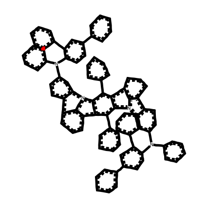 c1ccc(-c2ccc(N(c3ccccc3)c3ccc4c5cccc6c7c(-c8ccccc8)c8c(c(-c9ccccc9)c7n(c4c3)c56)c3cccc4c5ccc(N(c6ccccc6)c6ccc(-c7ccccc7)cc6-c6ccccc6)cc5n8c43)c(-c3ccccc3)c2)cc1